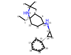 CC[C@]1(NC(C)(C)C)CC[C@@H](N[C@H]2C[C@@H]2c2ccccc2)CC1